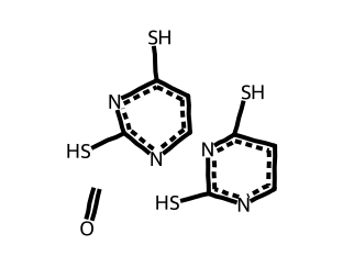 C=O.Sc1ccnc(S)n1.Sc1ccnc(S)n1